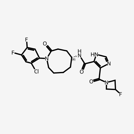 O=C(N[C@@H]1CCCCN(c2cc(F)c(F)cc2Cl)C(=O)CC1)c1[nH]cnc1C(=O)N1CC(F)C1